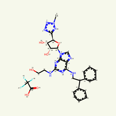 CCn1nnc([C@H]2O[C@@H](n3cnc4c(NCC(c5ccccc5)c5ccccc5)nc(NCCO)nc43)[C@H](O)[C@@H]2O)n1.O=C(O)C(F)(F)F